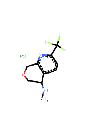 CNC1COCc2nc(C(F)(F)F)ccc21.Cl